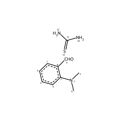 CN(C)c1ccccc1C=O.NC(N)=S